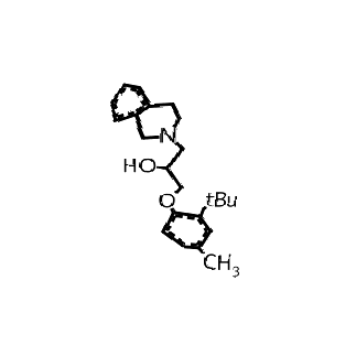 Cc1ccc(OCC(O)CN2CCc3ccccc3C2)c(C(C)(C)C)c1